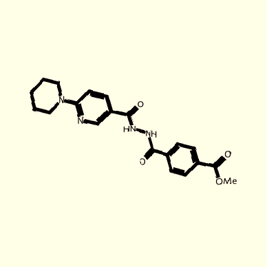 COC(=O)c1ccc(C(=O)NNC(=O)c2ccc(N3CCCCC3)nc2)cc1